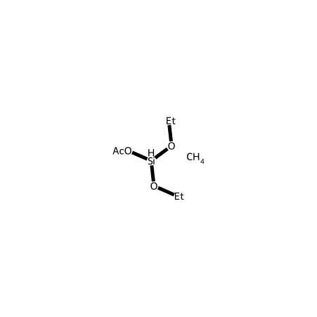 C.CCO[SiH](OCC)OC(C)=O